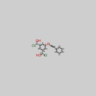 OC(Cl)c1cc(OC#Cc2ccccc2)cc(C(O)Cl)c1